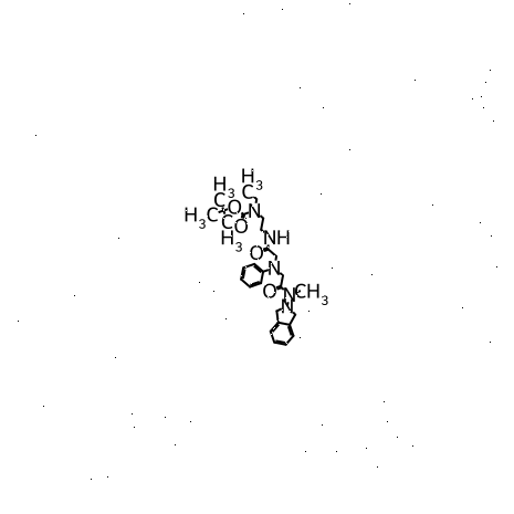 CCN(CCNC(=O)CN(CC(=O)N(C)N1Cc2ccccc2C1)c1ccccc1)C(=O)OC(C)(C)C